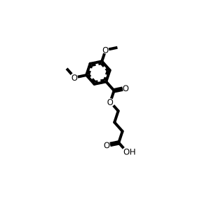 COc1cc(OC)cc(C(=O)OCCCC(=O)O)c1